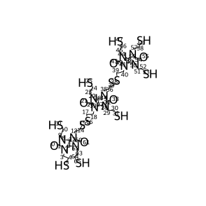 O=C1N(CCS)C2C(N1CCS)N(CCSSCCN1C(=O)N(CCS)C3C1N(CCS)C(=O)N3CCSSCCN1C(=O)N(CCS)C3C1N(CCS)C(=O)N3CCS)C(=O)N2CCS